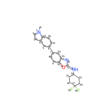 Cn1ccc2cc(-c3ccc4oc(NC5CCC(F)(F)CC5)nc4c3)ccc21